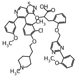 COc1cccc(-c2ncc3snc(OC(Cc4ccccc4OCc4ccnc(-c5ccccc5OC)n4)C(=O)O)c3c2-c2ccc(OCCC3CCN(C)CC3)c(Cl)c2C)c1